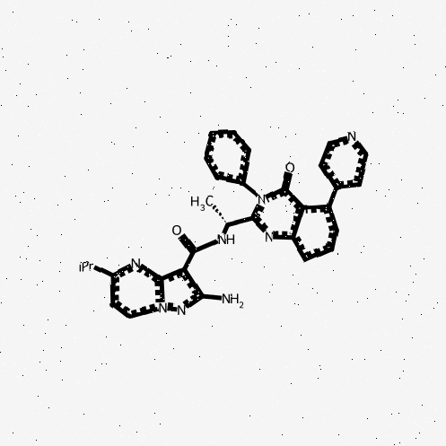 CC(C)c1ccn2nc(N)c(C(=O)N[C@H](C)c3nc4cccc(-c5ccncc5)c4c(=O)n3-c3ccccc3)c2n1